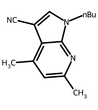 CCCCn1cc(C#N)c2c(C)cc(C)nc21